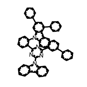 c1ccc(-c2cccc(-c3nc(-c4ccccc4-n4c5ccccc5c5c(-c6ccccc6)cc(-c6ccccc6)cc54)nc(-n4c5ccccc5c5ccccc54)n3)c2)cc1